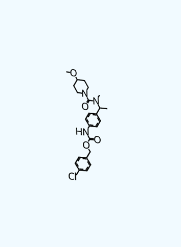 COC1CCN(C(=O)N(C)C(C)c2ccc(NC(=O)OCc3ccc(Cl)cc3)cc2)CC1